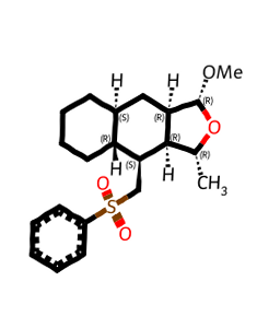 CO[C@@H]1O[C@H](C)[C@@H]2[C@H]1C[C@@H]1CCCC[C@H]1[C@@H]2CS(=O)(=O)c1ccccc1